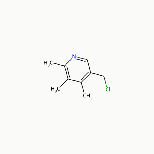 Cc1ncc(CCl)c(C)c1C